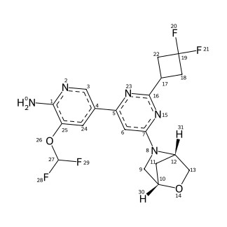 Nc1ncc(-c2cc(N3C[C@@H]4C[C@H]3CO4)nc(C3CC(F)(F)C3)n2)cc1OC(F)F